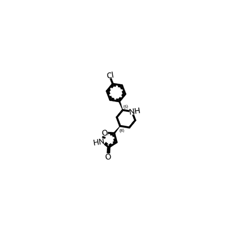 O=c1cc([C@@H]2CCN[C@H](c3ccc(Cl)cc3)C2)o[nH]1